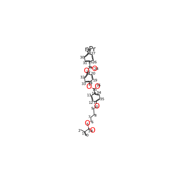 C=C(C)C(=O)OCCCCOc1ccc(C(=O)Oc2ccc(OC(=O)c3ccc(CCC)cc3)cc2)cc1